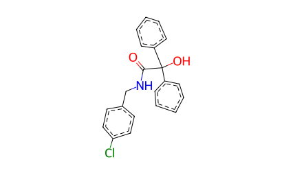 O=C(NCc1ccc(Cl)cc1)C(O)(c1ccccc1)c1ccccc1